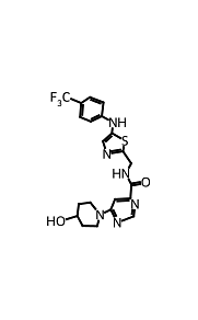 O=C(NCc1ncc(Nc2ccc(C(F)(F)F)cc2)s1)c1cc(N2CCC(O)CC2)ncn1